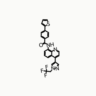 O=C(Nc1cccc2c(-c3cnn(CC(F)(F)F)c3)ccnc12)c1ccc(-c2cccs2)cc1